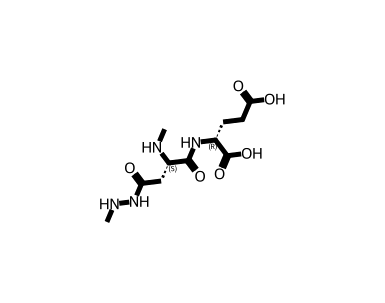 CNNC(=O)C[C@H](NC)C(=O)N[C@H](CCC(=O)O)C(=O)O